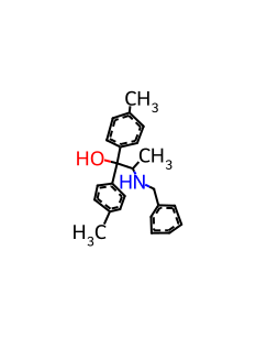 Cc1ccc(C(O)(c2ccc(C)cc2)C(C)NCc2ccccc2)cc1